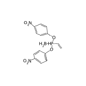 B[PH](C=C)(Oc1ccc([N+](=O)[O-])cc1)Oc1ccc([N+](=O)[O-])cc1